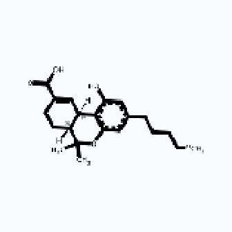 CC1(C)Oc2cc(CCCC[13CH3])cc(O)c2[C@@H]2C=C(C(=O)O)CC[C@H]21